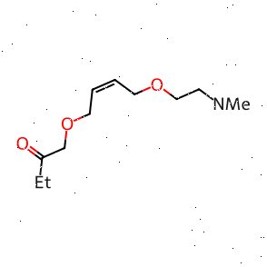 CCC(=O)COC/C=C\COCCNC